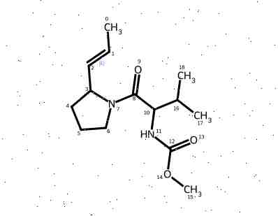 C/C=C/C1CCCN1C(=O)C(NC(=O)OC)C(C)C